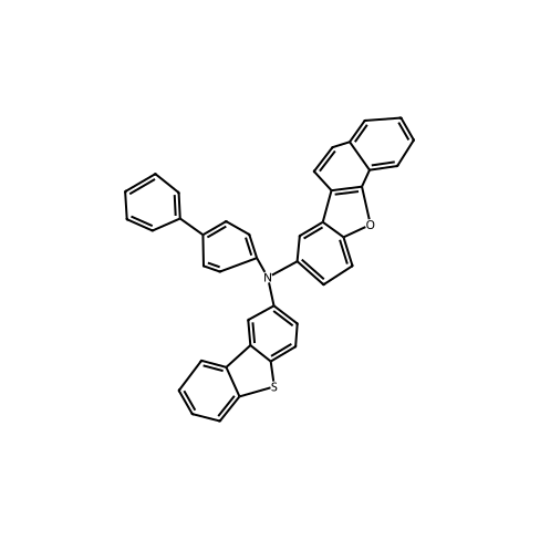 c1ccc(-c2ccc(N(c3ccc4oc5c6ccccc6ccc5c4c3)c3ccc4sc5ccccc5c4c3)cc2)cc1